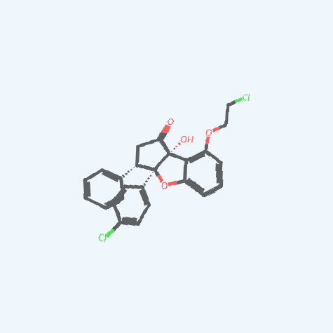 O=C1C[C@@H](c2ccccc2)[C@]2(c3ccc(Cl)cc3)Oc3cccc(OCCCl)c3[C@]12O